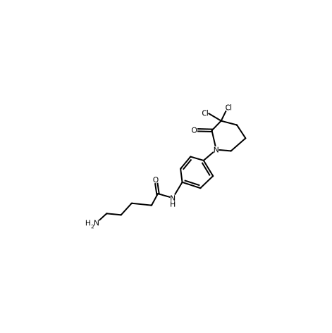 NCCCCC(=O)Nc1ccc(N2CCCC(Cl)(Cl)C2=O)cc1